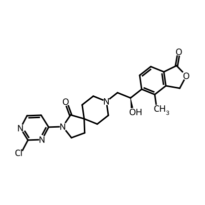 Cc1c([C@@H](O)CN2CCC3(CC2)CCN(c2ccnc(Cl)n2)C3=O)ccc2c1COC2=O